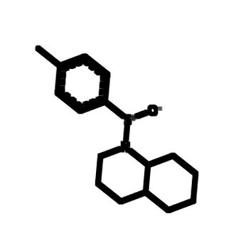 Cc1ccc([S+]([O-])N2CCCC3CCCCC32)cc1